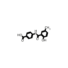 Cc1ccc(O)c(C(=O)Nc2ccc(C(=O)O)cc2)c1